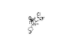 O=[N+]([O-])c1cc(Cl)[n+]([O-])cc1NCC1CCOCC1